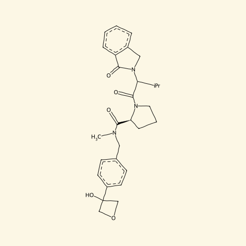 CC(C)C(C(=O)N1CCC[C@H]1C(=O)N(C)Cc1ccc(C2(O)COC2)cc1)N1Cc2ccccc2C1=O